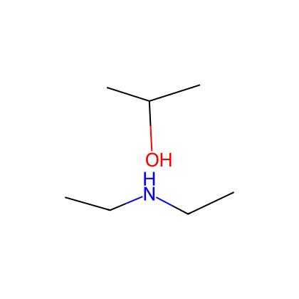 CC(C)O.CCNCC